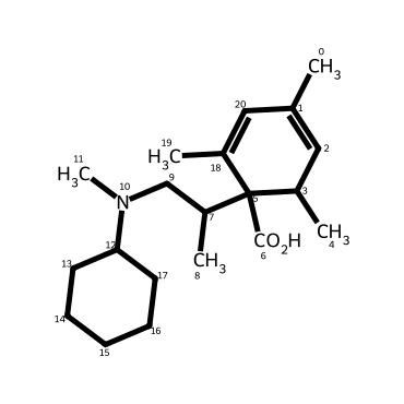 CC1=CC(C)C(C(=O)O)(C(C)CN(C)C2CCCCC2)C(C)=C1